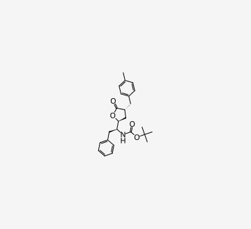 Cc1ccc(C[C@@H]2C[C@@H]([C@H](Cc3ccccc3)NC(=O)OC(C)(C)C)OC2=O)cc1